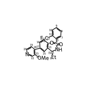 CC[C@H](NS(=O)(=O)c1ccccc1C(F)(F)F)c1cccc(-c2ccncc2OC)c1